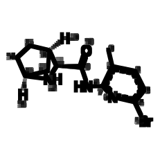 Cc1ccc(Br)nc1NC(=O)[C@H]1N[C@H]2CC[C@@H]1C2